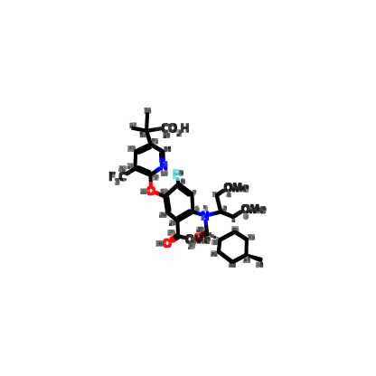 COCC(COC)N(c1cc(F)c(Oc2ncc(C(C)(C)C(=O)O)cc2C(F)(F)F)cc1C(=O)OC)C(=O)[C@H]1CC[C@H](C)CC1